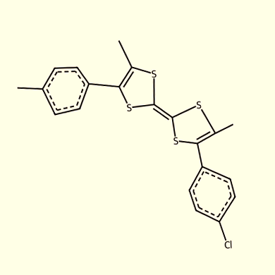 CC1=C(c2ccc(C)cc2)S/C(=C2/SC(C)=C(c3ccc(Cl)cc3)S2)S1